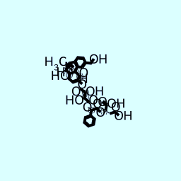 CN1CC[C@]23c4c5ccc(CO)c4O[C@H]2C(OC(=O)[C@H](O)[C@@H](O)C(=O)O[C@H](C(=O)O[C@@H](CC(=O)O)C(=O)O)c2ccccc2)=CC[C@@]3(O)[C@H]1C5